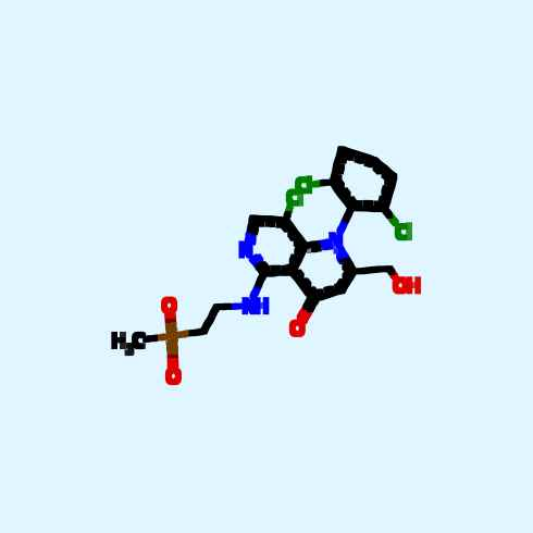 CS(=O)(=O)CCNc1ncc(Cl)c2c1c(=O)cc(CO)n2-c1c(Cl)cccc1Cl